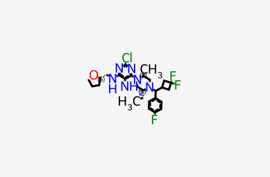 CC[C@@H]1CN(c2nc(Cl)nc(NC[C@@H]3CCCO3)c2N)[C@@H](C)CN1C(c1ccc(F)cc1)C1CC(F)(F)C1